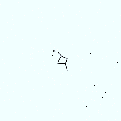 CC1CC(P)C1